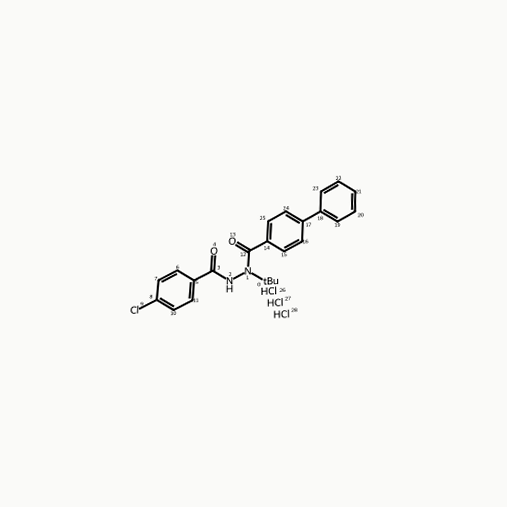 CC(C)(C)N(NC(=O)c1ccc(Cl)cc1)C(=O)c1ccc(-c2ccccc2)cc1.Cl.Cl.Cl